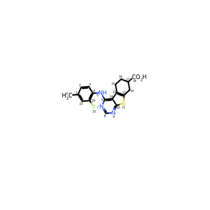 Cc1ccc(Nc2ncnc3sc4c(c23)CCC(C(=O)O)C4)c(F)c1